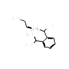 C=CCN.CC(C)c1ccccc1C(C)C